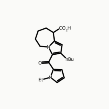 CCCCc1cc2n(c1C(=O)c1cccn1CC)CCCCC2C(=O)O